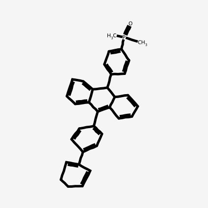 CP(C)(=O)c1ccc(C2c3ccccc3C(c3ccc(C4=CCCC=C4)cc3)=C3C=CC=CC32)cc1